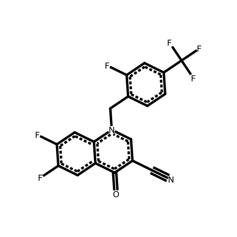 N#Cc1cn(Cc2ccc(C(F)(F)F)cc2F)c2cc(F)c(F)cc2c1=O